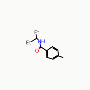 CCC(CC)NC(=O)c1ccc(C)cc1